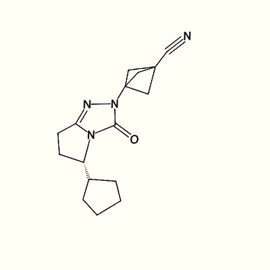 N#CC12CC(n3nc4n(c3=O)[C@H](C3CCCC3)CC4)(C1)C2